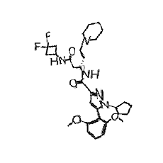 COc1cccc(OC)c1-c1cc(C(=O)N[C@@H](CCN2CCCCC2)CC(=O)NC2CC(F)(F)C2)nn1C1CCCC1